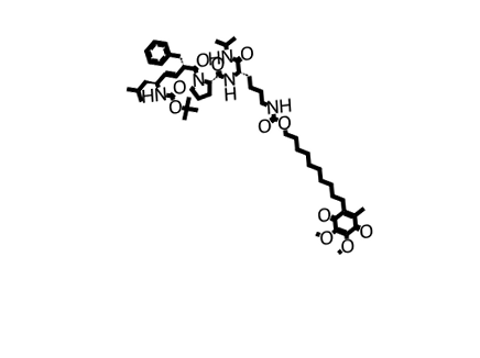 COC1=C(OC)C(=O)C(CCCCCCCCCCOC(=O)NCCCC[C@H](NC(=O)[C@@H]2CCCN2C(=O)[C@H](/C=C/[C@H](CC(C)C)NC(=O)OC(C)(C)C)Cc2ccccc2)C(=O)NC(C)C)=C(C)C1=O